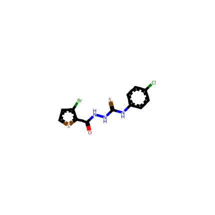 O=C(NNC(=S)Nc1ccc(Cl)cc1)c1sccc1Br